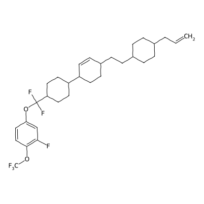 C=CCC1CCC(CCC2C=CC(C3CCC(C(F)(F)Oc4ccc(OC(F)(F)F)c(F)c4)CC3)CC2)CC1